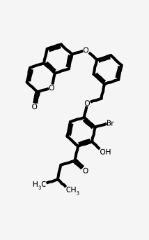 CC(C)CC(=O)c1ccc(OCc2cccc(Oc3ccc4ccc(=O)oc4c3)c2)c(Br)c1O